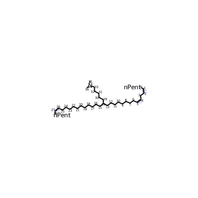 CCCCC/C=C\C/C=C\CCCCCCCCC(CCCCCCCCCCC/C=C\CCCCC)CCCCCN(C)C